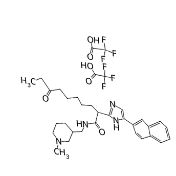 CCC(=O)CCCCCC(C(=O)NCC1CCCN(C)C1)c1ncc(-c2ccc3ccccc3c2)[nH]1.O=C(O)C(F)(F)F.O=C(O)C(F)(F)F